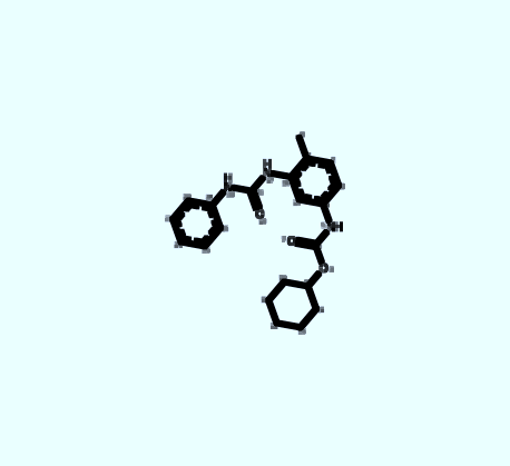 Cc1ccc(NC(=O)OC2CCCCC2)cc1NC(=O)Nc1ccccc1